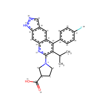 CC(C)c1c(N2CCC(C(=O)O)C2)nc2cc3[nH]ncc3cc2c1-c1ccc(F)cc1